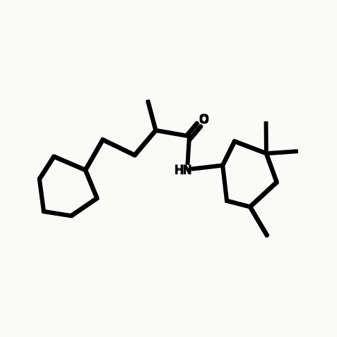 CC1CC(NC(=O)C(C)CCC2CCCCC2)CC(C)(C)C1